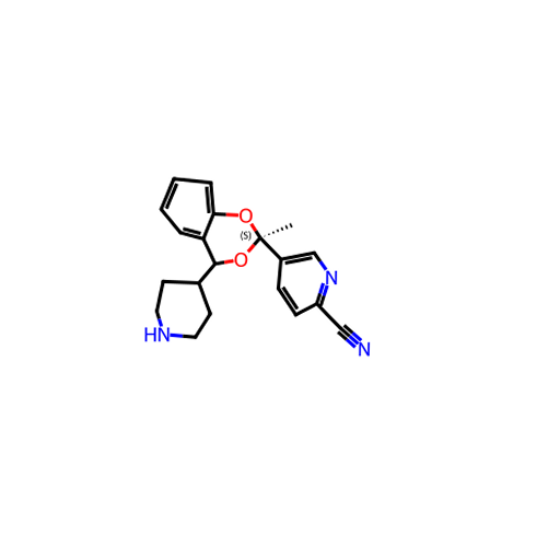 C[C@@]1(c2ccc(C#N)nc2)Oc2ccccc2C(C2CCNCC2)O1